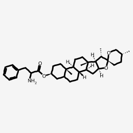 C[C@@H]1CC[C@@]2(OC1)O[C@H]1C[C@H]3[C@@H]4CCC5C[C@@H](OC(=O)C(N)Cc6ccccc6)CC[C@]5(C)[C@H]4CC[C@]3(C)[C@H]1[C@@H]2C